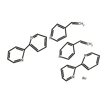 C=Cc1ccncc1.C=Cc1ccncc1.[Ru].c1ccc(-c2ccccn2)nc1.c1ccc(-c2ccccn2)nc1